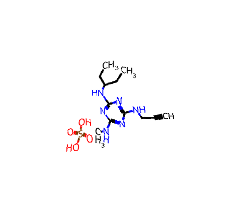 C#CCNc1nc(NC)nc(NC(CC)CC)n1.O=S(=O)(O)O